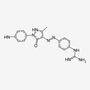 Cc1[nH]n(-c2ccc([NH])cc2)c(=O)c1/N=N/c1ccc(NC(=N)N)cc1